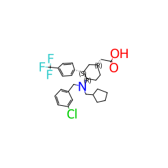 O=C(O)C[C@@H]1CC[C@@H](N(Cc2cccc(Cl)c2)CC2CCCC2)[C@H](c2ccc(C(F)(F)F)cc2)C1